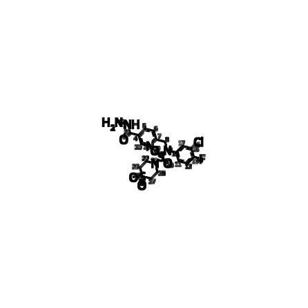 NNC(=O)c1ccc(CN(c2ccc(F)c(Cl)c2)S(=O)(=O)N2CCS(=O)(=O)CC2)nc1